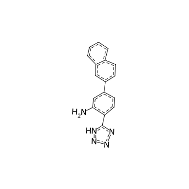 Nc1cc(-c2ccc3ccccc3c2)ccc1-c1nnn[nH]1